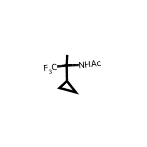 CC(=O)NC(C)(C1CC1)C(F)(F)F